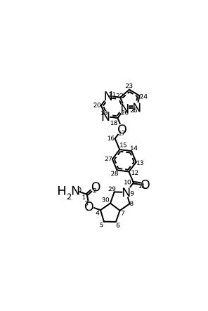 NC(=O)OC1CCC2CN(C(=O)c3ccc(COc4ncnc5ccnn45)cc3)CC21